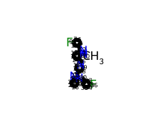 Cn1nc(-c2cccc(F)c2)c2cccc(CN3CCC(c4nc5ccccc5n4Cc4cccc(F)c4)CC3)c21